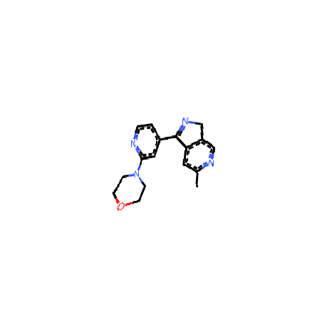 Cc1cc2c(cn1)CN=C2c1ccnc(N2CCOCC2)c1